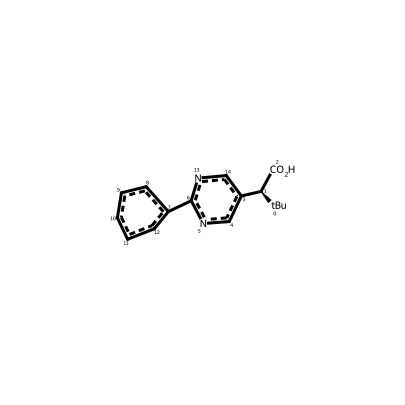 CC(C)(C)[C@H](C(=O)O)c1cnc(-c2ccccc2)nc1